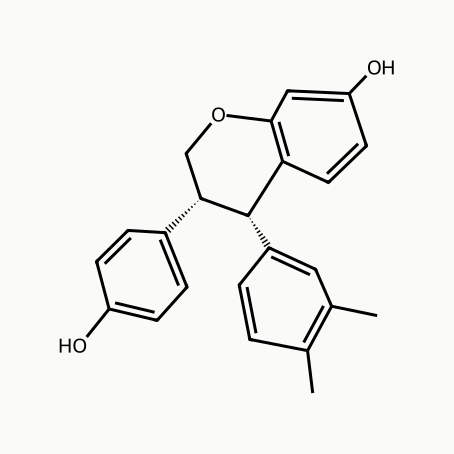 Cc1ccc([C@H]2c3ccc(O)cc3OC[C@H]2c2ccc(O)cc2)cc1C